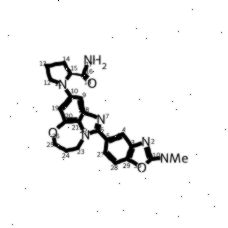 CNc1nc2cc(-c3nc4cc(N5CCC[C@H]5C(N)=O)cc5c4n3CCCO5)ccc2o1